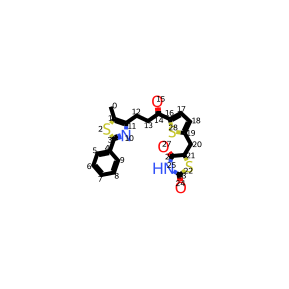 Cc1sc(-c2ccccc2)nc1CCC(=O)c1ccc(CC2SC(=O)NC2=O)s1